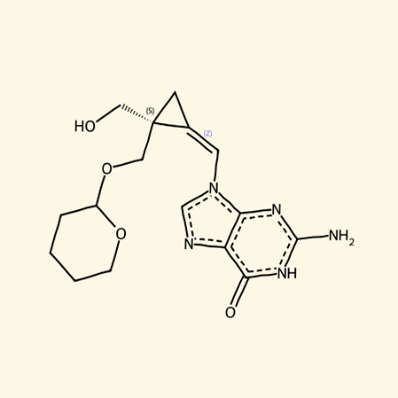 Nc1nc2c(ncn2/C=C2/C[C@]2(CO)COC2CCCCO2)c(=O)[nH]1